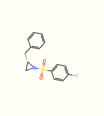 O=S(=O)(c1ccc(F)cc1)N1C[C@@H]1Cc1ccccc1